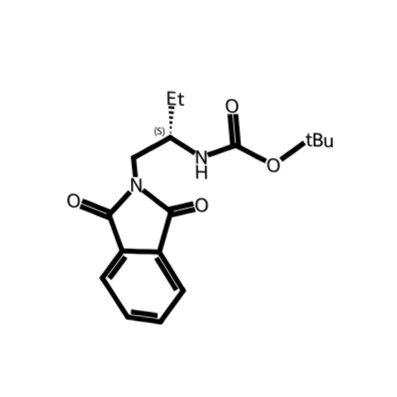 CC[C@@H](CN1C(=O)c2ccccc2C1=O)NC(=O)OC(C)(C)C